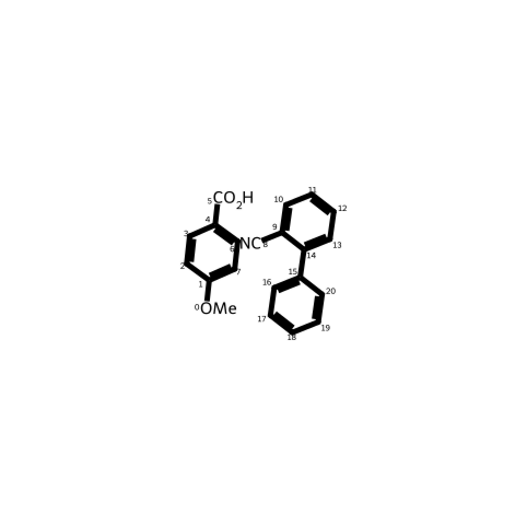 COc1ccc(C(=O)O)cc1.N#Cc1ccccc1-c1ccccc1